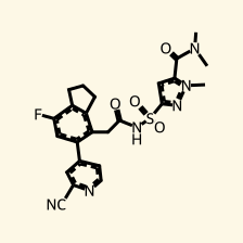 CN(C)C(=O)c1cc(S(=O)(=O)NC(=O)Cc2c(-c3ccnc(C#N)c3)cc(F)c3c2CCC3)nn1C